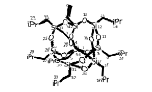 C=C[Si]12O[Si]3(CC(C)C)O[Si]4(CC(C)C)O[Si](CC(C)C)(O1)O[Si]1(CC(C)C)O[Si](CC(C)C)(O2)O[Si](CC(C)C)(O3)O[Si](CC(C)C)(O4)O1